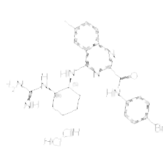 Cc1ccc2nc(C(=O)Nc3ccc(Br)cc3)nc(N[C@H]3CCCC[C@H]3NC(=N)N)c2c1.Cl.Cl